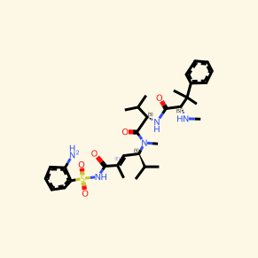 CN[C@H](C(=O)N[C@H](C(=O)N(C)[C@H](/C=C(\C)C(=O)NS(=O)(=O)c1ccccc1N)C(C)C)C(C)C)C(C)(C)c1ccccc1